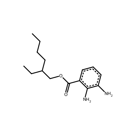 CCCCC(CC)COC(=O)c1cccc(N)c1N